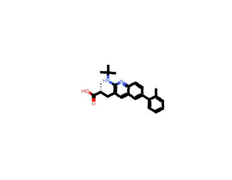 Cc1ccccc1-c1ccc2nc(NC(C)(C)C)c(C[C@@H](C)C(=O)O)cc2c1